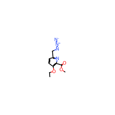 CCOc1ccc(CN=[N+]=[N-])nc1C(=O)OC